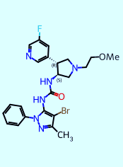 COCCN1C[C@@H](NC(=O)Nc2c(Br)c(C)nn2-c2ccccc2)[C@H](c2cncc(F)c2)C1